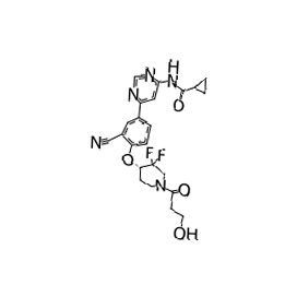 N#Cc1cc(-c2cc(NC(=O)C3CC3)ncn2)ccc1O[C@H]1CCN(C(=O)CCO)CC1(F)F